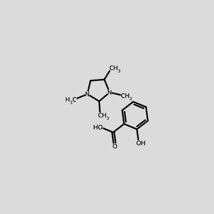 CC1CN(C)C(C)N1C.O=C(O)c1ccccc1O